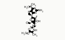 COC(=O)[C@H](C)N[PH](=S)O[C@H]1[C@]2(O)[C@@H](F)[C@H](n3cnc4c(N(C)C)nc(N)nc43)O[C@]12CCl